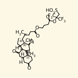 C[C@H](CCC(=O)OCCCC(=O)OC(CS(=O)(=O)O)(C(F)(F)F)C(F)(F)F)[C@H]1CC[C@H]2[C@@H]3C(=O)C[C@@H]4CC(=O)CC[C@]4(C)[C@H]3CC(=O)[C@]12C